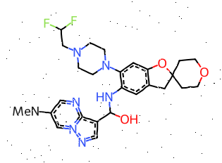 CNc1cnc2c(C(O)Nc3cc4c(cc3N3CCN(CC(F)F)CC3)OC3(CCOCC3)C4)cnn2c1